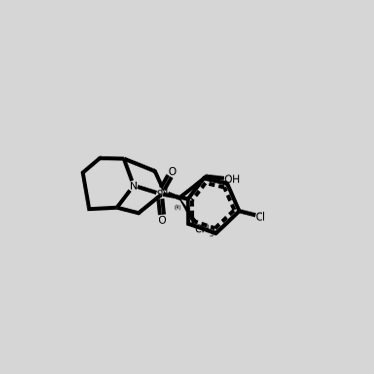 C[C@H](CO)N1CC2CCCC(C1)N2S(=O)(=O)c1ccc(Cl)cc1